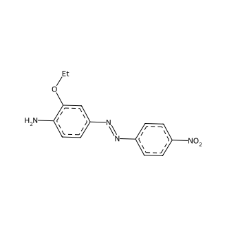 CCOc1cc(/N=N/c2ccc([N+](=O)[O-])cc2)ccc1N